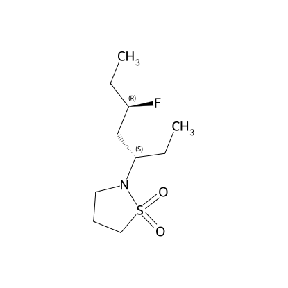 CC[C@@H](F)C[C@H](CC)N1CCCS1(=O)=O